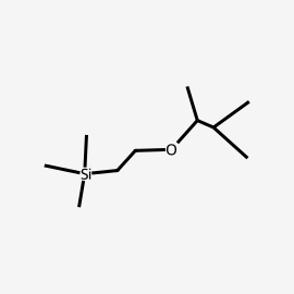 CC(C)C(C)OCC[Si](C)(C)C